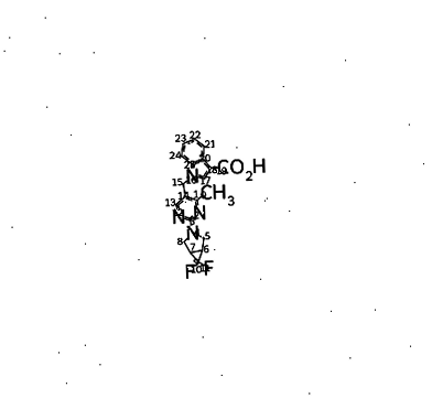 Cc1nc(N2CC3C(C2)C3(F)F)ncc1Cn1cc(C(=O)O)c2ccccc21